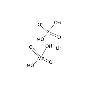 O=P([O-])(O)O.[Li+].[O]=[Mn](=[O])([OH])[OH]